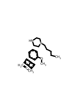 C=C=C.CCCCCN1CCNCC1.COc1ccccc1.c1cc2ccc1-2